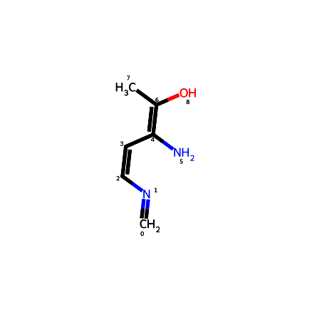 C=N/C=C\C(N)=C(/C)O